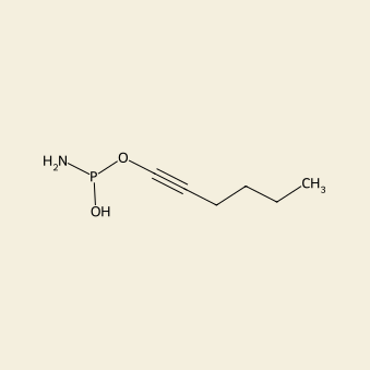 CCCCC#COP(N)O